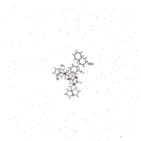 CN1CCC(CC(=O)N2[C@@H]3CC[C@H]2CN(c2nc(OCC45CCCN4CCC5)nc4c(F)c(-c5cc(O)cc6ccccc56)ccc24)C3)CC1